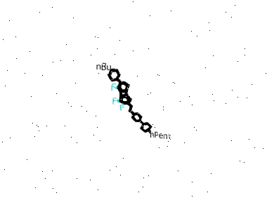 CCCCCC1CCC(C2CCC(CCc3cc4c(c(F)c3F)-c3c-4ccc(C4CCC(CCCC)CC4)c3F)CC2)CC1